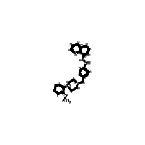 COc1ccccc1N1CCN(Cc2ccc(NSc3cccc4cccnc34)cc2)CC1